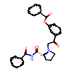 O=C(CN1CCC[C@@H]1C(=O)NC(=O)c1ccccc1)c1cccc(OC(=O)c2ccccc2)c1